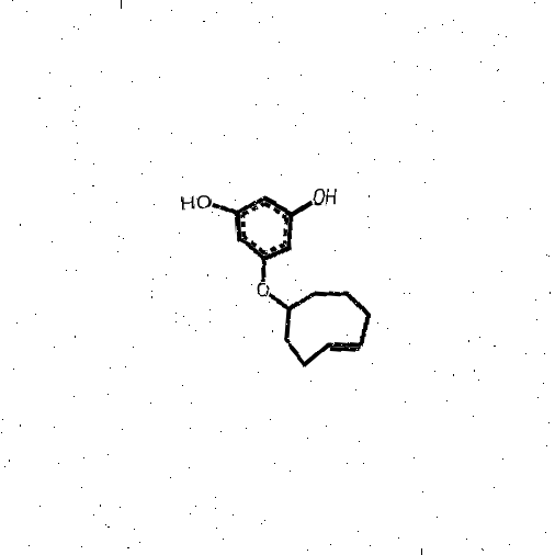 Oc1cc(O)cc(OC2CC/C=C/CCC2)c1